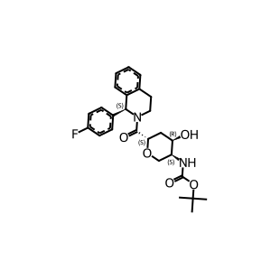 CC(C)(C)OC(=O)N[C@H]1CO[C@H](C(=O)N2CCc3ccccc3[C@@H]2c2ccc(F)cc2)C[C@H]1O